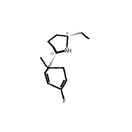 CC[C@H]1CC[C@@H](C2(C)C=CC(F)=CC2)N1